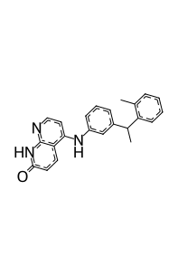 Cc1ccccc1C(C)c1cccc(Nc2ccnc3[nH]c(=O)ccc23)c1